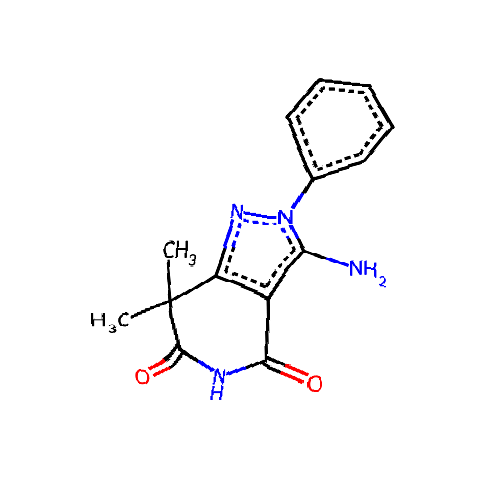 CC1(C)C(=O)NC(=O)c2c1nn(-c1ccccc1)c2N